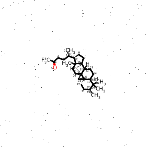 C[C@H](CCC(=O)C(F)(F)F)[C@H]1CC[C@@]2(C)[C@@H]3CC[C@H]4C(C)(C)[C@@H](C)CC[C@@]45C[C@@]35CC[C@]12C